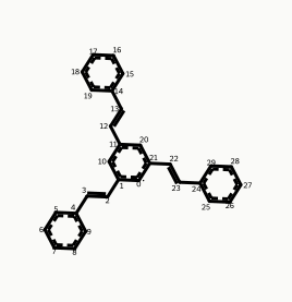 [c]1c(C=Cc2ccccc2)cc(C=Cc2ccccc2)cc1C=Cc1ccccc1